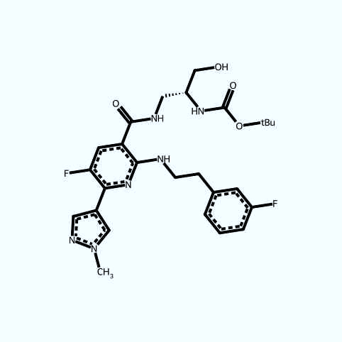 Cn1cc(-c2nc(NCCc3cccc(F)c3)c(C(=O)NC[C@H](CO)NC(=O)OC(C)(C)C)cc2F)cn1